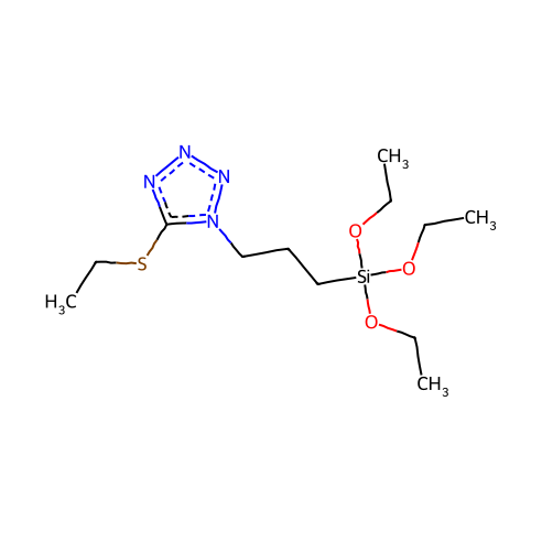 CCO[Si](CCCn1nnnc1SCC)(OCC)OCC